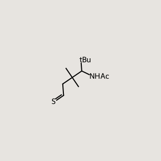 CC(=O)NC(C(C)(C)C)C(C)(C)CC=S